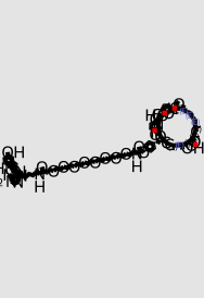 CO[C@H]1C[C@@H]2CCC[C@@](O)(O2)C(=O)C(=O)N2CCCC[C@H]2C(=O)O[C@H](CC[C@H]2CC[C@H](OC(=O)NCCOCCOCCOCCOCCOCCOCCOCCOCCC(=O)NCCCCn3nc(-c4cc5cc(O)ccc5[nH]4)c4c(N)ncnc43)CC2)CC[C@H](C)/C=C(\C)[C@@H](O)[C@@H](OC)C(=O)[C@H](C)C[C@H](C)/C=C/C=C/C=C/1C